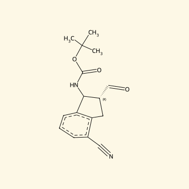 CC(C)(C)OC(=O)NC1c2cccc(C#N)c2C[C@H]1C=O